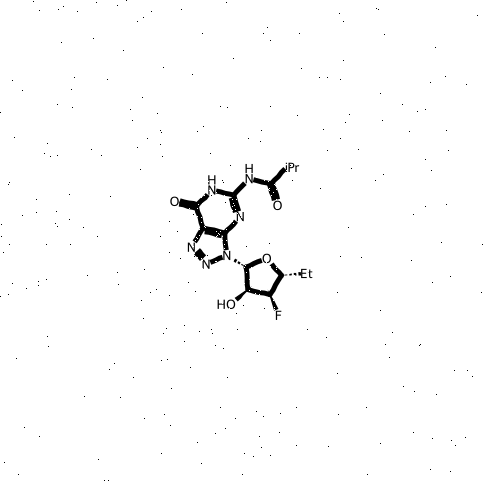 CC[C@H]1O[C@@H](n2nnc3c(=O)[nH]c(NC(=O)C(C)C)nc32)[C@H](O)[C@@H]1F